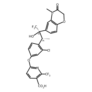 C[C@H](c1ccc(Oc2ccc(C(=O)O)c(C(F)(F)F)n2)cc1Cl)[C@@](O)(c1ccc2c(c1)N(C)C(=O)CO2)C(F)(F)F